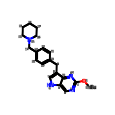 CCCCOc1ncc2[nH]cc(Cc3ccc(CN4CCCCC4)cc3)c2n1